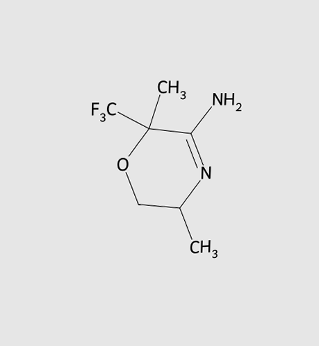 CC1COC(C)(C(F)(F)F)C(N)=N1